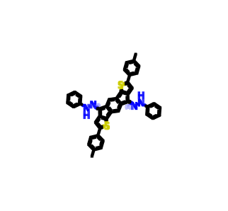 Cc1ccc(-c2cc3/c(=N\Nc4ccccc4)c4cc5c(cc4c3s2)/c(=N/Nc2ccccc2)c2cc(-c3ccc(C)cc3)sc25)cc1